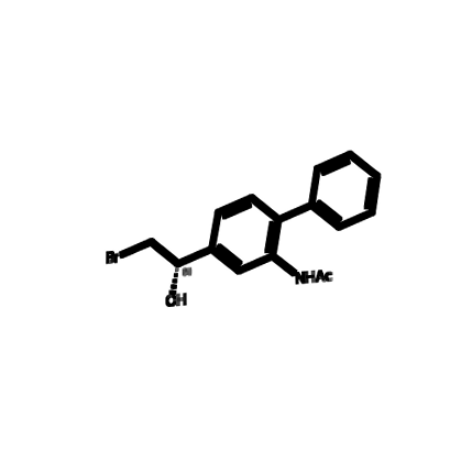 CC(=O)Nc1cc([C@H](O)CBr)ccc1-c1ccccc1